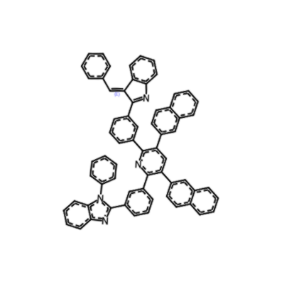 C(=C1\C(c2cccc(-c3nc(-c4cccc(-c5nc6ccccc6n5-c5ccccc5)c4)c(-c4ccc5ccccc5c4)cc3-c3ccc4ccccc4c3)c2)=Nc2ccccc21)/c1ccccc1